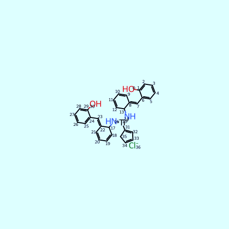 Oc1ccccc1C=C1C=CC=CC1[NH][Ti+]([NH]C1C=CC=CC1=Cc1ccccc1O)[C]1=CC=CC1.[Cl-]